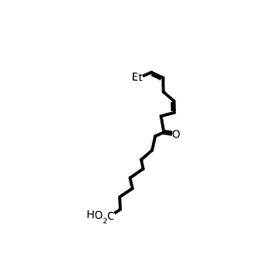 CC/C=C\C/C=C\CC(=O)CCCCCCCCC(=O)O